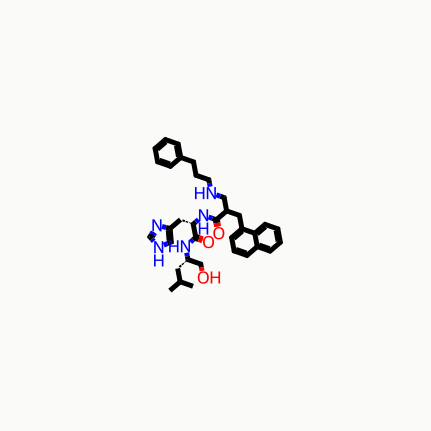 CC(C)C[C@@H](CO)NC(=O)[C@H](Cc1c[nH]cn1)NC(=O)C(CNCCCc1ccccc1)Cc1cccc2ccccc12